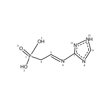 O=P(O)(O)CC=Nc1nc[nH]n1